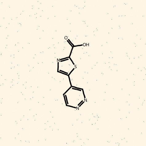 O=C(O)c1ncc(-c2ccnnc2)s1